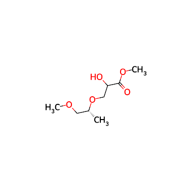 COC[C@@H](C)OCC(O)C(=O)OC